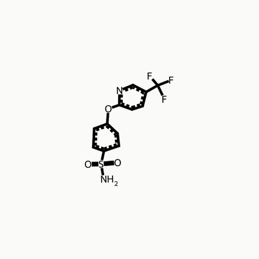 NS(=O)(=O)c1ccc(Oc2ccc(C(F)(F)F)cn2)cc1